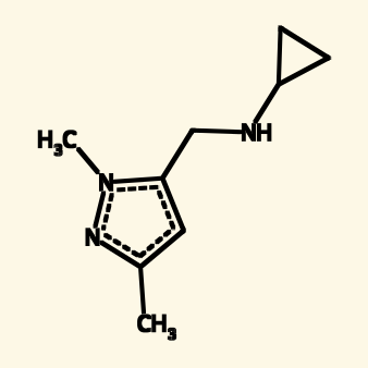 Cc1cc(CNC2CC2)n(C)n1